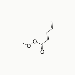 C=CC=CC(=O)OOC